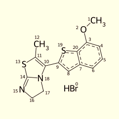 Br.COc1cccc2cc(C3=C(C)SC4=NCCN43)sc12